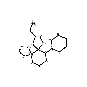 COC1(CCCN)C(C2CCCCC2)CCC[Si]1(OC)OC